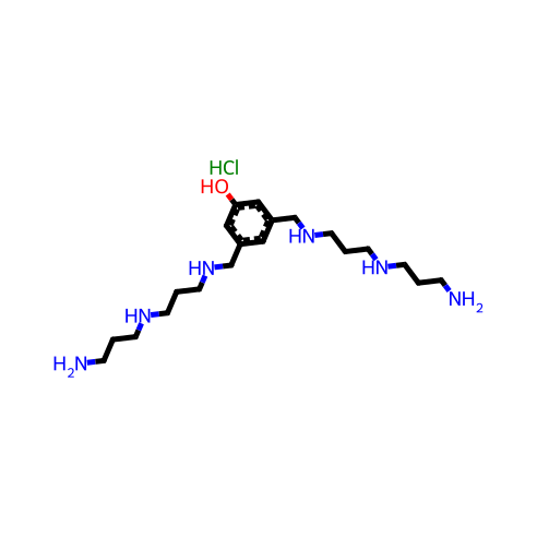 Cl.NCCCNCCCNCc1cc(O)cc(CNCCCNCCCN)c1